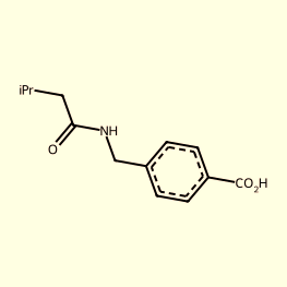 CC(C)CC(=O)NCc1ccc(C(=O)O)cc1